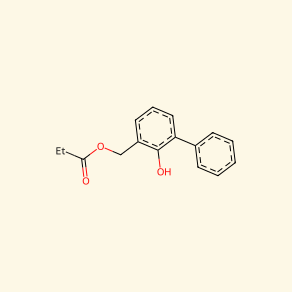 CCC(=O)OCc1cccc(-c2ccccc2)c1O